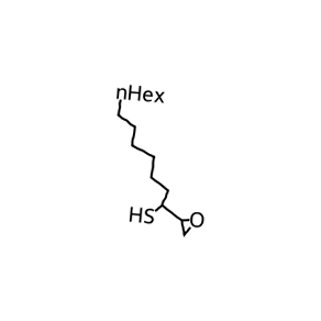 CCCCCCCCCCCCC(S)C1CO1